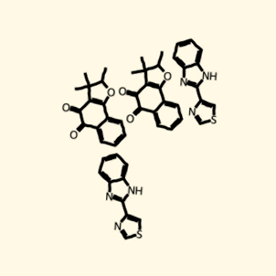 CC1OC2=C(C(=O)C(=O)c3ccccc32)C1(C)C.CC1OC2=C(C(=O)C(=O)c3ccccc32)C1(C)C.c1ccc2[nH]c(-c3cscn3)nc2c1.c1ccc2[nH]c(-c3cscn3)nc2c1